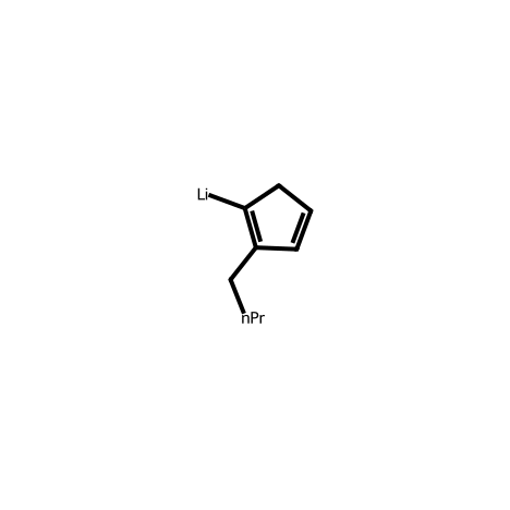 [Li][C]1=C(CCCC)C=CC1